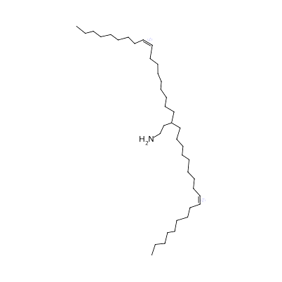 CCCCCCCC/C=C\CCCCCCCCC(CCN)CCCCCCCC/C=C\CCCCCCCC